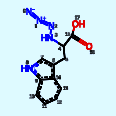 [N-]=[N+]=NNC(Cc1c[nH]c2ccccc12)C(=O)O